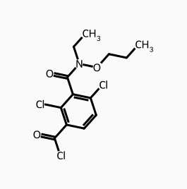 CCCON(CC)C(=O)c1c(Cl)ccc(C(=O)Cl)c1Cl